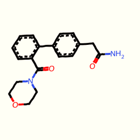 NC(=O)Cc1ccc(-c2ccccc2C(=O)N2CCOCC2)cc1